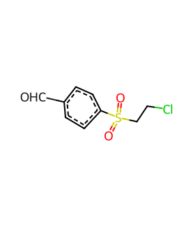 O=Cc1ccc(S(=O)(=O)CCCl)cc1